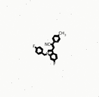 Cc1ccc(/C(C#N)=C/c2cn(Cc3ccc(F)cc3)c3cc(F)ccc23)cc1